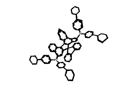 c1ccc2c(c1)-c1ccccc1C21c2cc(N(c3ccc(C4CCCCC4)cc3)c3ccc(C4CCCCC4)cc3)c3ccccc3c2-c2c1c1ccc(N(c3ccc(C4CCCCC4)cc3)c3ccc(C4CCCCC4)cc3)cc1c1ccccc21